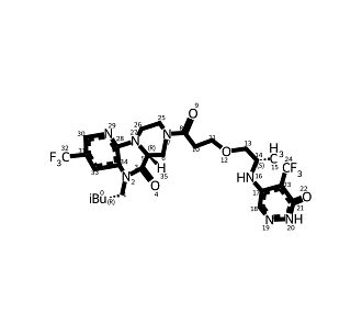 CC[C@@H](C)CN1C(=O)[C@H]2CN(C(=O)CCOC[C@H](C)Nc3cn[nH]c(=O)c3C(F)(F)F)CCN2c2ncc(C(F)(F)F)cc21